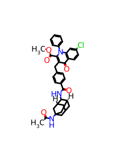 COC(=O)c1c(Cc2ccc(C(=O)NC3[C@@H]4CC5C[C@H]3CC(NC(C)=O)(C5)C4)cc2)c(=O)c2ccc(Cl)cc2n1-c1ccccc1